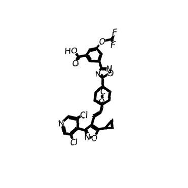 O=C(O)c1cc(OC(F)F)cc(-c2noc(C34CCC(C=Cc5c(-c6c(Cl)cncc6Cl)noc5C5CC5)(CC3)OC4)n2)c1